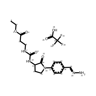 CCOC(=O)CCNC(=O)NC1CCN(c2ccc(C=NN)cc2)C1=O.O=C(O)C(F)(F)F